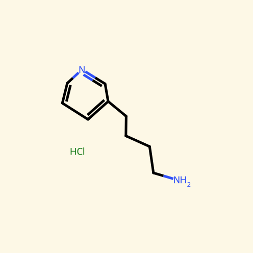 Cl.NCCCCc1cccnc1